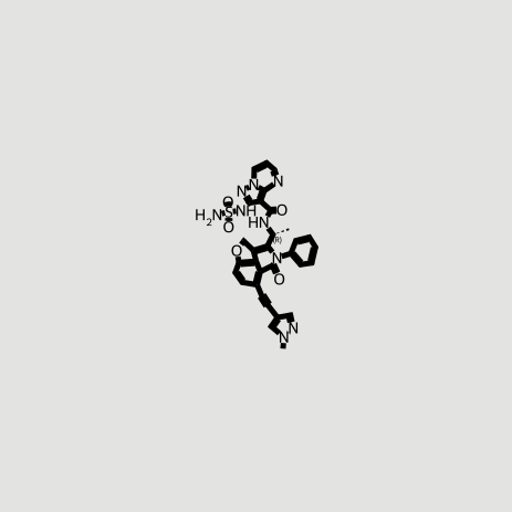 C[C@@H](NC(=O)c1c(NS(N)(=O)=O)nn2cccnc12)c1c2c3c(ccc(C#Cc4cnn(C)c4)c3c(=O)n1-c1ccccc1)OC2